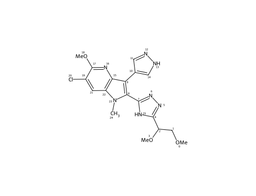 COCC(OC)c1nnc(-c2c(-c3cn[nH]c3)c3nc(OC)c(Cl)cc3n2C)[nH]1